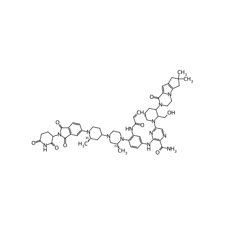 C=CC(=O)Nc1cc(Nc2nc(N3CCCC(N4CCn5c(cc6c5CC(C)(C)C6)C4=O)C3CO)cnc2C(N)=O)ccc1N1CCN(C2CCN(c3ccc4c(c3)C(=O)N(C3CCC(=O)NC3=O)C4=O)[C@H](C)C2)C[C@@H]1C